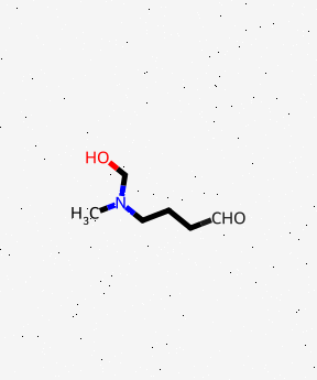 CN(CO)CCCC=O